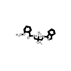 COc1ccccc1C(=O)NCC(C)(C)CNC1=NCc2ccccc21